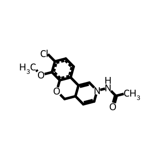 COc1c(Cl)ccc2c1OCC1C=CN(NC(C)=O)C=C21